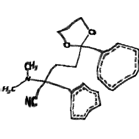 CN(C)C(C#N)(CCC1(c2ccccc2)OCCO1)c1ccccc1